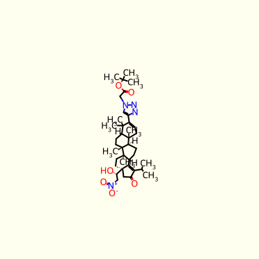 CC(C)C1=C2[C@H]3CC[C@@H]4[C@@]5(C)CC=C(c6cn(CC(=O)OC(C)(C)C)nn6)C(C)(C)[C@@H]5CC[C@@]4(C)[C@]3(C)CC[C@@]2([C@@H](O)C[N+](=O)[O-])CC1=O